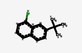 CC(C)(C)c1ccc2cccc(Br)c2c1